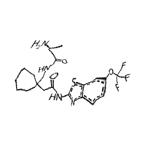 CC(N)C(=O)NCC1(CC(=O)Nc2nc3ccc(OC(F)(F)F)cc3s2)CCCCC1